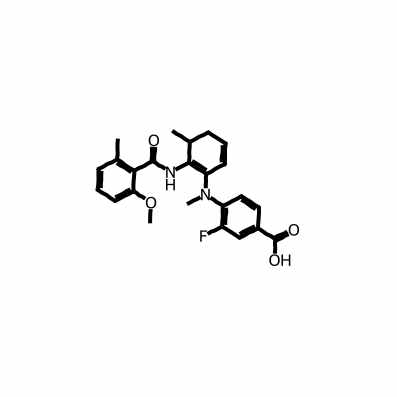 COc1cccc(C)c1C(=O)NC1=C(N(C)c2ccc(C(=O)O)cc2F)C=CCC1C